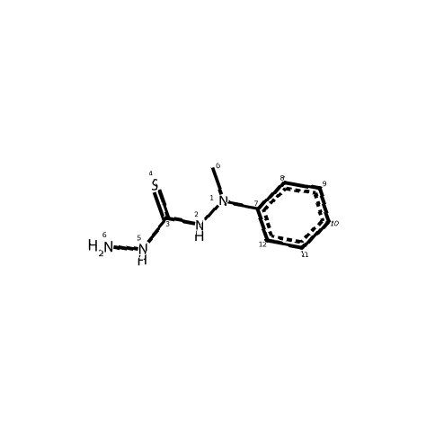 CN(NC(=S)NN)c1ccccc1